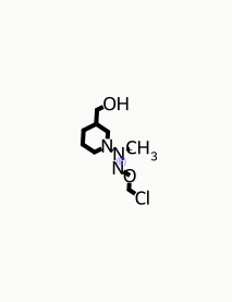 C/[N+](=N\OCCl)N1CCCC(CO)C1